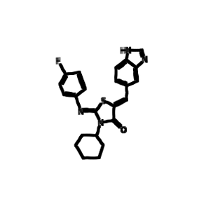 O=C1/C(=C/c2ccc3[nH]cnc3c2)S/C(=N\c2ccc(F)cc2)N1C1CCCCC1